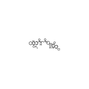 Cc1c2c(nc3cc(C(=O)NCCC(=O)N4CCC(O)(Cn5cnc6cc(Cl)ccc6c5=O)CC4)ccc13)CCCC2